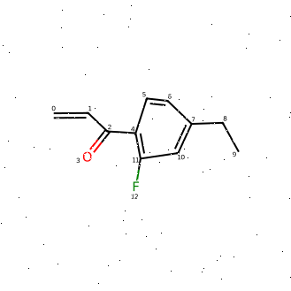 C=CC(=O)c1ccc(CC)cc1F